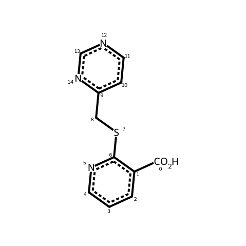 O=C(O)c1cccnc1SCc1ccncn1